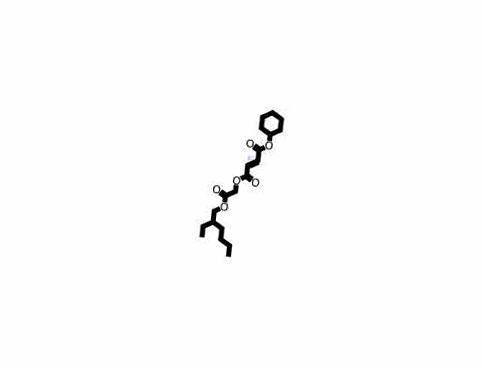 CCCCC(CC)COC(=O)COC(=O)/C=C/C(=O)OC1CCCCC1